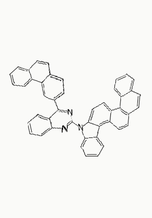 c1ccc2c(c1)ccc1ccc(-c3nc(-n4c5ccccc5c5c6ccc7ccc8ccccc8c7c6ccc54)nc4ccccc34)cc12